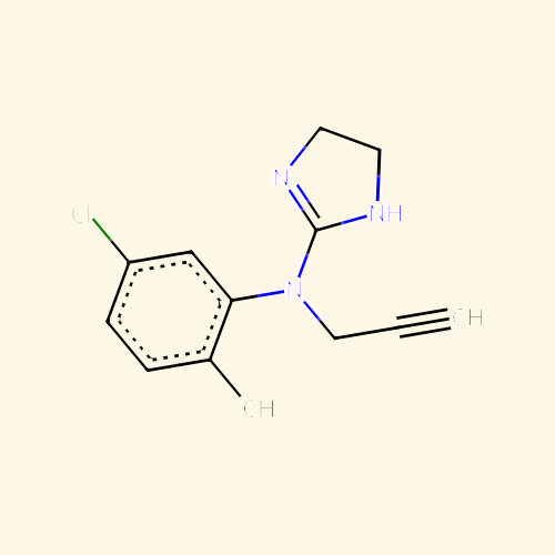 C#CCN(C1=NCCN1)c1cc(Cl)ccc1C